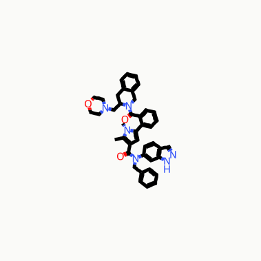 Cc1c(C(=O)N(Cc2ccccc2)c2ccc3cn[nH]c3c2)cc(-c2ccccc2C(=O)N2Cc3ccccc3CC2CN2CCOCC2)n1C